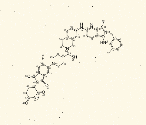 Cc1cccc(C)c1Nc1nn(C)c2nc(Nc3ccc4c(c3)CN(C(S)C3CCN(c5cc6c(cc5F)C(=O)N(C5CCC(=O)NC5=O)C6=O)CC3)CC4)ncc12